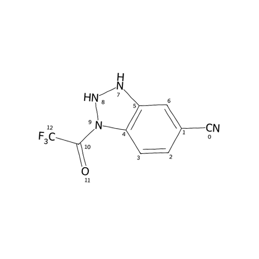 N#Cc1ccc2c(c1)NNN2C(=O)C(F)(F)F